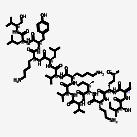 C/C=C(/NC(=O)[C@@H](O)[C@@H](C)CC)C(=O)N[C@@H](CC[S+](C)[O-])C(=O)N[C@H](CCCN)C(=O)N[C@H](C(=O)N[C@H](C(=O)N[C@H](C(=O)N[C@H](CCCCN)C(=O)N[C@H](C(=O)N[C@H](CC(C)C)C(=O)N[C@@H](CCCCN)C(=O)N[C@H](Cc1ccc(O)cc1)C(=O)N[C@@H](CC(C)C)C(=O)N[C@H](CO)C(C)C)C(C)C)C(C)C)C(C)C)[C@@H](C)CC